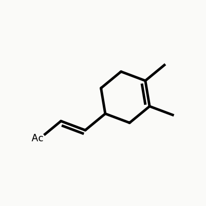 CC(=O)C=CC1CCC(C)=C(C)C1